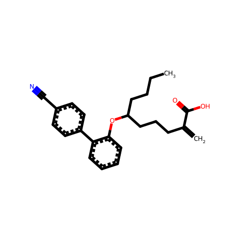 C=C(CCCC(CCCC)Oc1ccccc1-c1ccc(C#N)cc1)C(=O)O